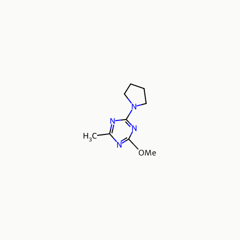 COc1nc(C)nc(N2CCCC2)n1